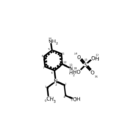 CCN(CCO)c1ccc(N)cc1N.O=S(=O)(O)O